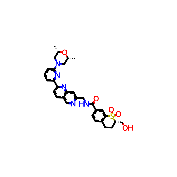 C[C@@H]1CN(c2cccc(-c3ccc4cnc(CNC(=O)c5ccc6c(c5)S(=O)(=O)[C@H](CO)CC6)cc4n3)n2)C[C@H](C)O1